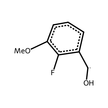 COc1cccc([CH]O)c1F